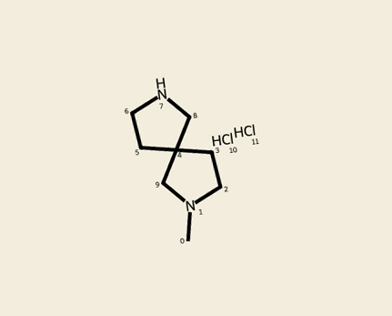 CN1CCC2(CCNC2)C1.Cl.Cl